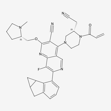 C=CC(=O)N1CCN(c2c(C#N)c(OC[C@@H]3CCCN3C)nc3c(F)c(-c4cccc5c4C4CC4C5)ncc23)C[C@@H]1CC#N